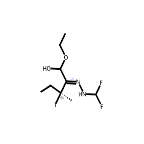 CCOC(O)/C(=N/NC(F)F)[C@@](C)(I)CC